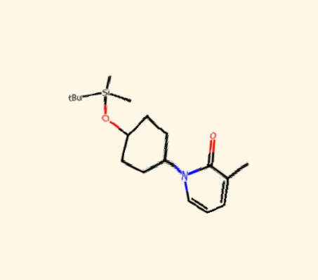 Cc1cccn(C2CCC(O[Si](C)(C)C(C)(C)C)CC2)c1=O